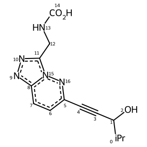 CC(C)C(O)C#Cc1ccc2nnc(CNC(=O)O)n2n1